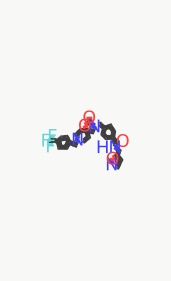 O=C(NCc1ccno1)C1CCC(CN2CC3(CCN(Cc4ccc(C(F)(F)F)cc4)CC3)OC2=O)CC1